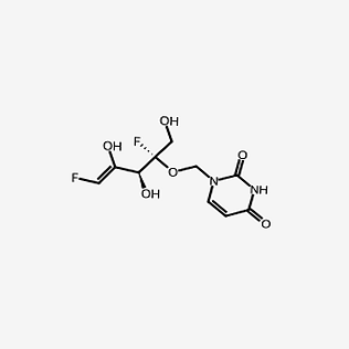 O=c1ccn(CO[C@](F)(CO)[C@@H](O)/C(O)=C/F)c(=O)[nH]1